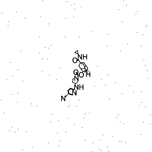 N#Cc1ccc(NC2CCN(C(=O)OC3C4CC5C[C@@H]3CC(C(=O)NC3CC3)(C5)C4)C2)nc1